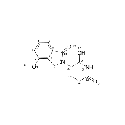 COc1cccc2c1CN(C1CCC(=O)NC1O)C2=O